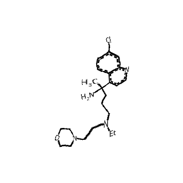 CCN(CCCC(C)(N)c1ccnc2cc(Cl)ccc12)CCN1CCOCC1